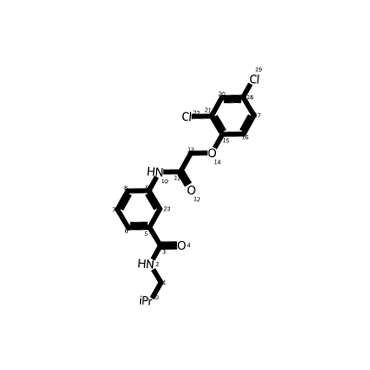 CC(C)CNC(=O)c1cccc(NC(=O)COc2ccc(Cl)cc2Cl)c1